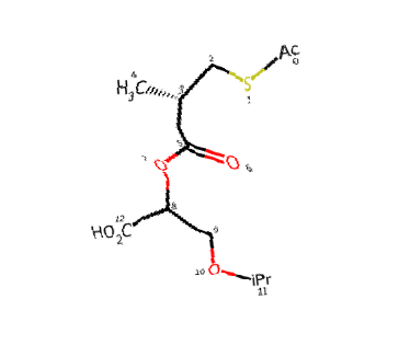 CC(=O)SC[C@@H](C)C(=O)OC(COC(C)C)C(=O)O